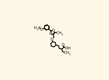 CCC(CCC1CCCC(OCc2nc(-c3cccc(OC)c3)oc2C)C1)C(=O)O